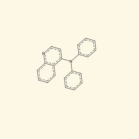 c1ccc(N(c2ccccc2)c2ccnc3ccccc23)cc1